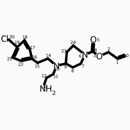 C=CCOC(=O)N1CCC(N(CCN)CCc2ccc(Cl)cc2)CC1